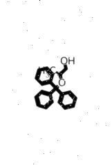 C[C@@H](CO)OC(c1ccccc1)(c1ccccc1)c1ccccc1